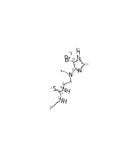 CNC(=S)NCCN(C)c1nc[nH]c1Br